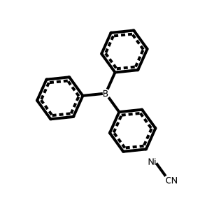 N#[C][Ni].c1ccc(B(c2ccccc2)c2ccccc2)cc1